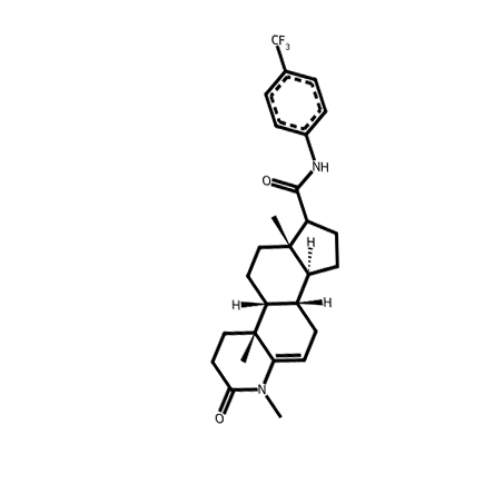 CN1C(=O)CC[C@@]2(C)C1=CC[C@@H]1[C@H]2CC[C@]2(C)C(C(=O)Nc3ccc(C(F)(F)F)cc3)CC[C@@H]12